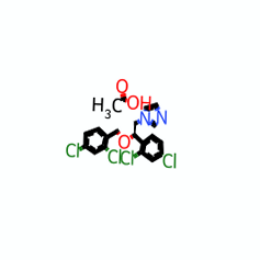 CC(=O)O.Clc1ccc(CO[C@@H](Cn2ccnc2)c2ccc(Cl)cc2Cl)c(Cl)c1